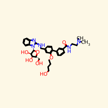 CN(C)CCNC(=O)c1cccc(-c2ccc(CNc3nc4ccccc4n3[C@@H]3O[C@H](CO)[C@@H](O)[C@H]3O)cc2OCCCCO)c1